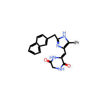 CC(C)c1[nH]c(Cc2ccc3ccccc3c2)nc1C=C1NC(=O)CNC1=O